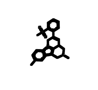 Cc1ccc2c(c1)c1c3n2CC(c2ccccc2S(C)(=O)=O)=CC3CN(C)C1